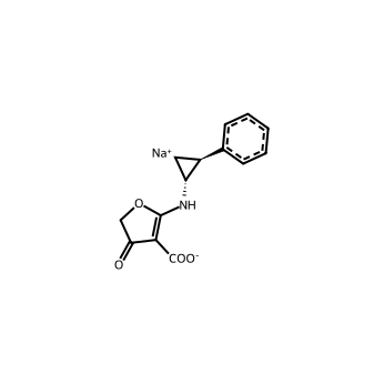 O=C([O-])C1=C(N[C@@H]2C[C@H]2c2ccccc2)OCC1=O.[Na+]